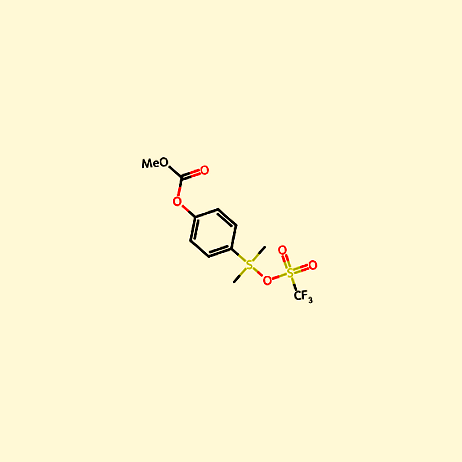 COC(=O)Oc1ccc(S(C)(C)OS(=O)(=O)C(F)(F)F)cc1